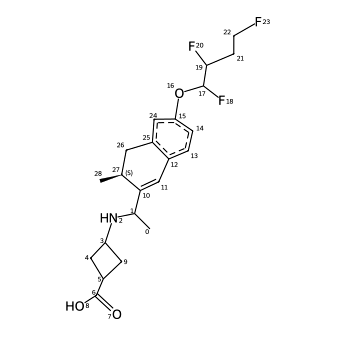 CC(NC1CC(C(=O)O)C1)C1=Cc2ccc(OC(F)C(F)CCF)cc2C[C@@H]1C